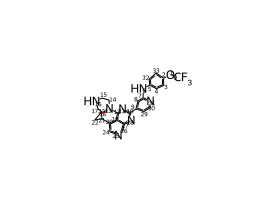 FC(F)(F)Oc1ccc(Nc2cc(-c3nc(N4CCNCC4)c4c(C5CC5)cncc4n3)ccn2)cc1